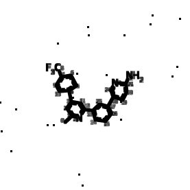 Cc1cc(-c2ccc(C(F)(F)F)cc2)cc(-c2cccc(-c3ccc(N)nc3)c2)n1